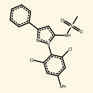 CCCc1cc(Cl)c(-n2nc(-c3ccccc3)cc2NS(C)(=O)=O)c(Cl)c1